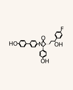 O=C1[C@H](CC[C@H](O)c2ccc(F)cc2)[C@@H](c2ccc(O)cc2)N1c1ccc(-c2ccc(O)cc2)cc1